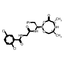 CC(C)C[C@H](NC(=O)CNC(=O)c1cc(Cl)ccc1Cl)B1OC[C@H](C)N[C@@H](C)C(=O)O1